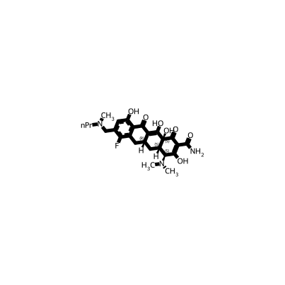 CCCN(C)Cc1cc(O)c2c(c1F)C[C@H]1C[C@H]3[C@H](N(C)C)C(O)=C(C(N)=O)C(=O)[C@@]3(O)C(O)=C1C2=O